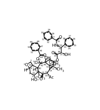 CC(=O)O[C@@]12CO[C@@H]1C[C@H](O)[C@@]1(C)C(=O)[C@H](C(C)=O)C3=C(C)[C@@H](OC(=O)[C@H](O)[C@@H](NC(=O)c4ccccc4)c4ccccc4)C[C@@](O)([C@@H](OC(=O)c4ccccc4)[C@H]21)C3(C)C